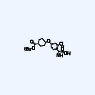 CC(C)(C)OC(=O)C1CCC(Oc2ccc(C(=N)NO)c(Cl)c2)CC1